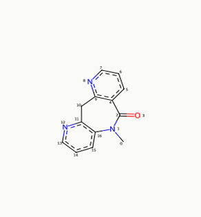 CN1C(=O)c2cccnc2Cc2ncccc21